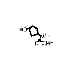 O=C(O)NC1CCC(O)C1